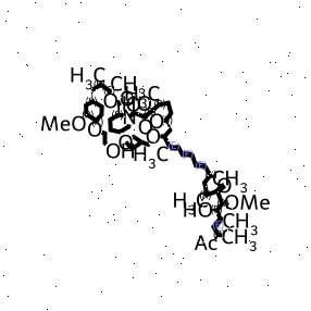 CO[C@@H]1C[C@H](C[C@@H](C)[C@H](C)OC(=O)[C@@H]2CCCCN2C(=O)C(=O)[C@]2(O)O[C@H](CC(OCC3COC3)/C(C)=C/C=C/C=C/[C@@H](C)C[C@@H](C)C(=O)[C@H](OC)[C@H](O)/C(C)=C/[C@@H](C)C(C)=O)CC[C@H]2C)CC[C@H]1OCCO